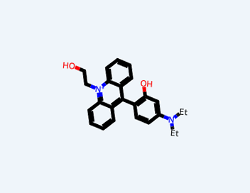 CCN(CC)c1ccc(-c2c3ccccc3[n+](CCO)c3ccccc23)c(O)c1